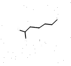 CCCCCC(N)N.I.I